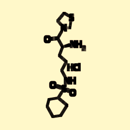 Cl.N[C@@H](CCCNS(=O)(=O)C1CCCCC1)C(=O)N1CCSC1